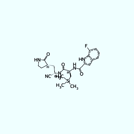 C[Si](C)(C)C[C@H](NC(=O)c1cc2cccc(F)c2[nH]1)C(=O)N[C@H](C#N)C[C@@H]1CCNC1=O